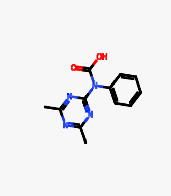 Cc1nc(C)nc(N(C(=O)O)c2ccccc2)n1